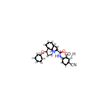 N#Cc1ccc(NC(=O)c2cc3cccc4c3n2CCC4Oc2ccccc2)c(C(=O)O)c1